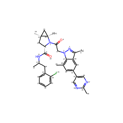 CC(=O)c1nn(CC(=O)N2[C@H](C(=O)NC(C)Cc3ccccc3F)C[C@@]3(C)C[C@@H]23)c2c(C)cc(-c3cnc(C)nc3)cc12